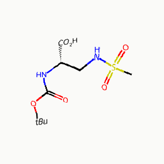 CC(C)(C)OC(=O)N[C@@H](CNS(C)(=O)=O)C(=O)O